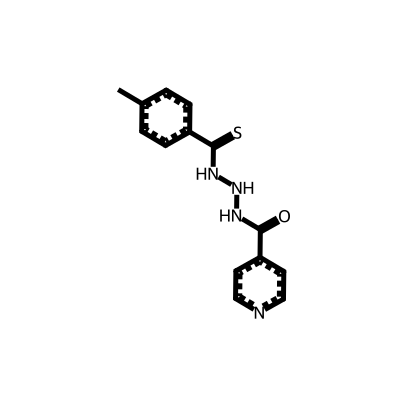 Cc1ccc(C(=S)NNNC(=O)c2ccncc2)cc1